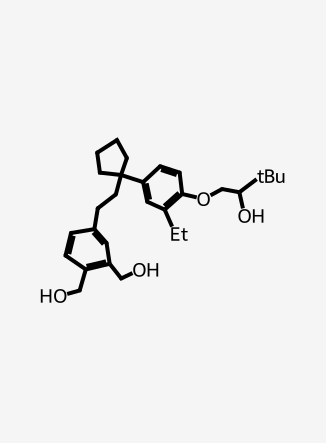 CCc1cc(C2(CCc3ccc(CO)c(CO)c3)CCCC2)ccc1OCC(O)C(C)(C)C